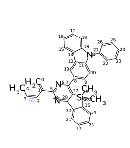 C=C(/C=C\C)c1nc(-c2ccc3c(c2)c2ccccc2n3-c2ccccc2)c2c(n1)-c1ccccc1[Si]2(C)C